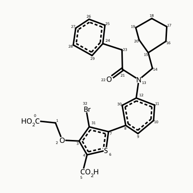 O=C(O)COc1c(C(=O)O)sc(-c2cccc(N(CC3CCCCC3)C(=O)Cc3ccccc3)c2)c1Br